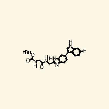 CC(C)(C)OC(=O)NCC(=O)NCc1nc2ccc(-c3c[nH]c4cc(F)ccc34)cc2[nH]1